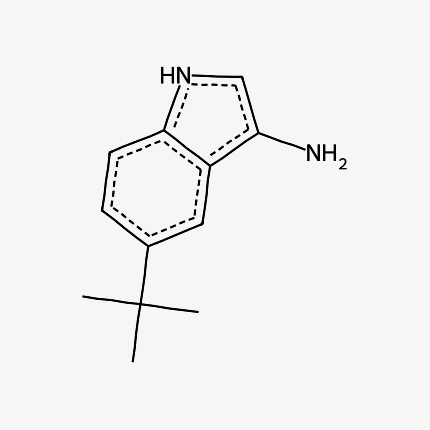 CC(C)(C)c1ccc2[nH]cc(N)c2c1